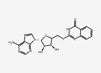 Nc1ncnc2c1ncn2[C@@H]1OC(CSc2nc3ccccc3c(=O)[nH]2)[C@@H](O)[C@H]1O